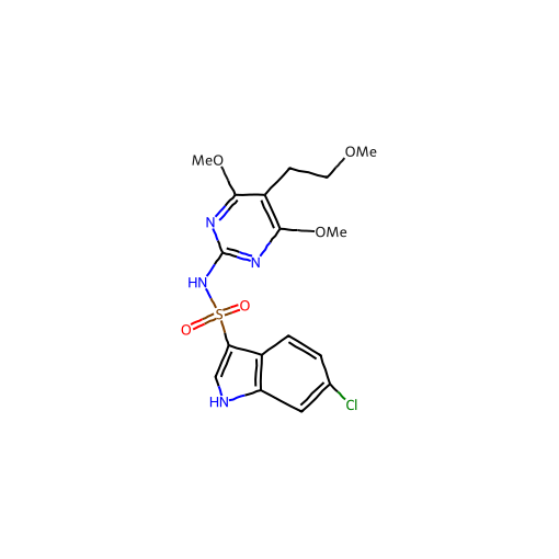 COCCc1c(OC)nc(NS(=O)(=O)c2c[nH]c3cc(Cl)ccc23)nc1OC